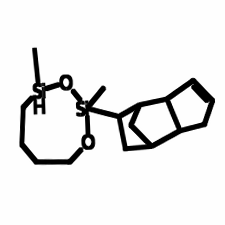 C[SiH]1CCCCO[Si](C)(C2CC3CC2C2C=CCC32)O1